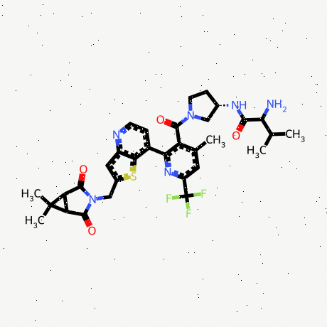 Cc1cc(C(F)(F)F)nc(-c2ccnc3cc(CN4C(=O)C5C(C4=O)C5(C)C)sc23)c1C(=O)N1CC[C@H](NC(=O)C(N)C(C)C)C1